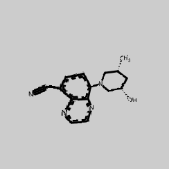 C[C@@H]1C[C@H](O)CN(c2ccc(C#N)c3nccnc23)C1